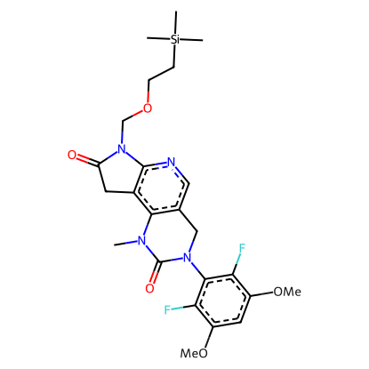 COc1cc(OC)c(F)c(N2Cc3cnc4c(c3N(C)C2=O)CC(=O)N4COCC[Si](C)(C)C)c1F